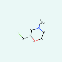 CC(C)(C)N1CCO[C@H](CF)C1